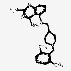 Cc1cccc(C)c1CN1CCC(COc2cccc3nc(N)nc(N)c23)CC1